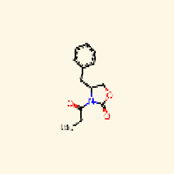 CC(C)(C)CC(=O)N1C(=O)OCC1Cc1ccccc1